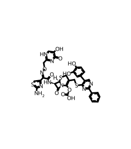 Nc1nc(/C(=N/OCc2nc(=O)c(O)c[nH]2)C(=O)N[C@@H]2C(=O)N3C(OC(=O)O)=C(CSc4nc(-c5ccccc5)ncc4-c4ccc(O)c(O)c4)CS[C@H]23)cs1